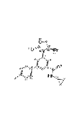 Cc1ccc(-c2cc(C(=O)NC3CC3)cc(N3C(=O)OC[C@H]3C(C)C)c2)nc1